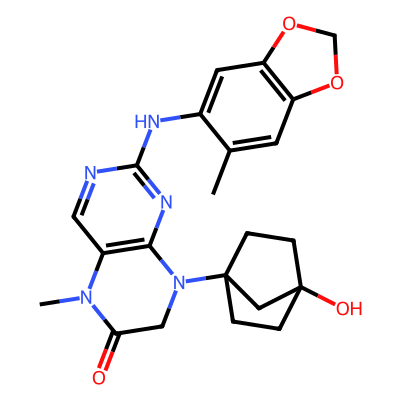 Cc1cc2c(cc1Nc1ncc3c(n1)N(C14CCC(O)(CC1)C4)CC(=O)N3C)OCO2